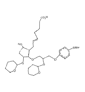 CSc1ccc(OCC(COC2C(OC3CCCCO3)CC(O)C2C/C=C/CCCC(=O)O)OC2CCCCO2)cc1